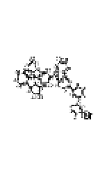 Brc1cccc(-c2cccc(-c3ccc4c(c3)c3ccccc3n4-c3ccc4c(c3)-c3ccccc3C43c4ccccc4-c4ccccc43)c2)c1